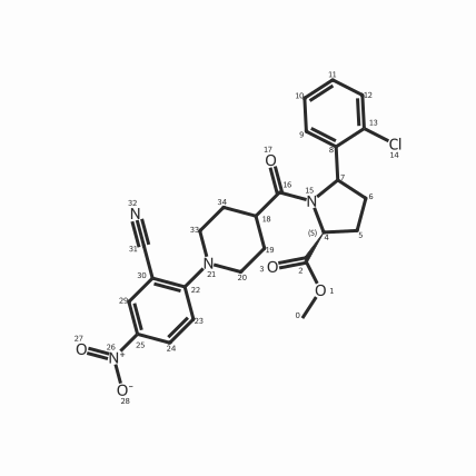 COC(=O)[C@@H]1CCC(c2ccccc2Cl)N1C(=O)C1CCN(c2ccc([N+](=O)[O-])cc2C#N)CC1